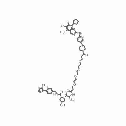 CC(=O)c1c(C)c2cnc(Nc3ccc(N4CCN(C(=O)CCOCCOCCOCCOCCC(=O)N[C@H](C(=O)N5C[C@H](O)C[C@H]5C(=O)NCc5ccc(-c6scnc6C)cc5)C(C)(C)C)CC4)cn3)nc2n(C2CCCC2)c1=O